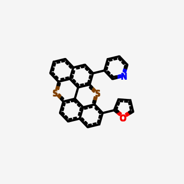 c1cncc(-c2cc3cccc4sc5ccc6ccc(-c7ccco7)c7sc2c(c34)-c5c67)c1